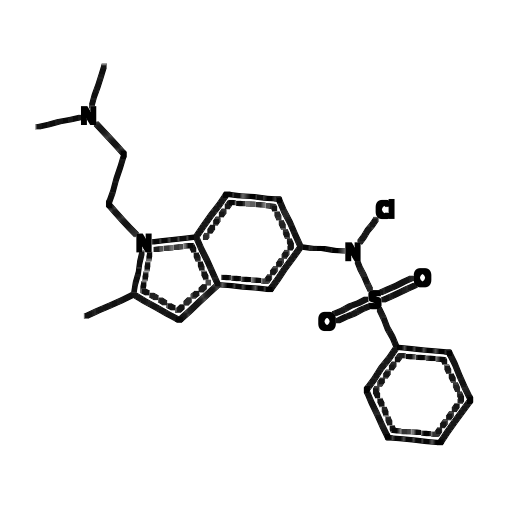 Cc1cc2cc(N(Cl)S(=O)(=O)c3ccccc3)ccc2n1CCN(C)C